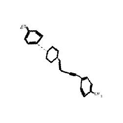 CCc1ccc([C@H]2CC[C@H](C=CC#Cc3ccc(C(F)(F)F)cc3)CC2)cc1